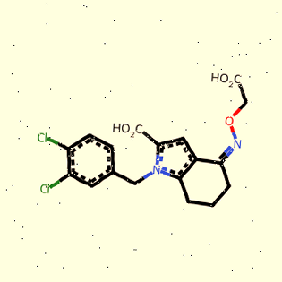 O=C(O)CO/N=C1/CCCc2c1cc(C(=O)O)n2Cc1ccc(Cl)c(Cl)c1